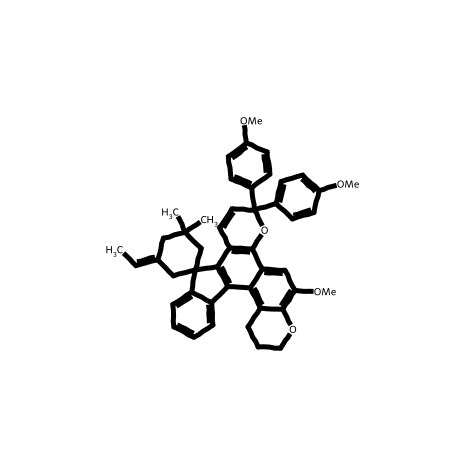 C/C=C1\CC(C)(C)CC2(C1)c1ccccc1-c1c2c2c(c3cc(OC)c4c(c13)CCCO4)OC(c1ccc(OC)cc1)(c1ccc(OC)cc1)C=C2